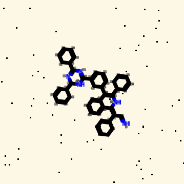 N=C/C(C1=CC=CCC1)=C1\NC(C2C=CC=CC2)=C(C2C=CC=C(C3=NC(C4C=CC=CC4)=NC(C4C=CC=CC4)N3)C2)c2ccccc21